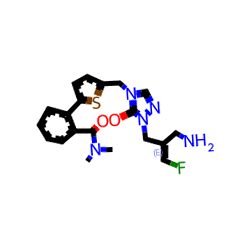 CN(C)C(=O)c1ccccc1-c1ccc(Cn2cnn(C/C(=C/F)CN)c2=O)s1